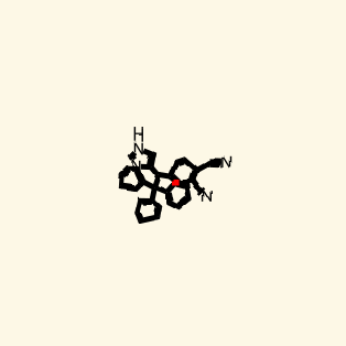 N#Cc1ccc(C(c2c[nH]cn2)C(c2ccccc2)(c2ccccc2)c2ccccc2)cc1C#N